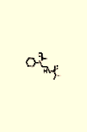 CC(=O)N(CCNC(=O)C(C)C)C1CCCCC1